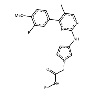 CCNC(=O)Cn1cc(Nc2ncc(C)c(-c3ccc(OC)c(F)c3)n2)cn1